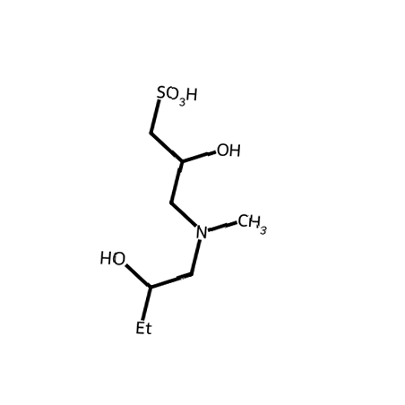 CCC(O)CN(C)CC(O)CS(=O)(=O)O